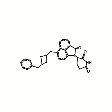 O=C1CCC(N2C(=O)c3cccc4c(CC5CN(Cc6ccccc6)C5)ccc2c34)C(=O)N1